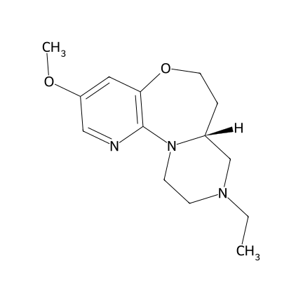 CCN1CCN2c3ncc(OC)cc3OCC[C@@H]2C1